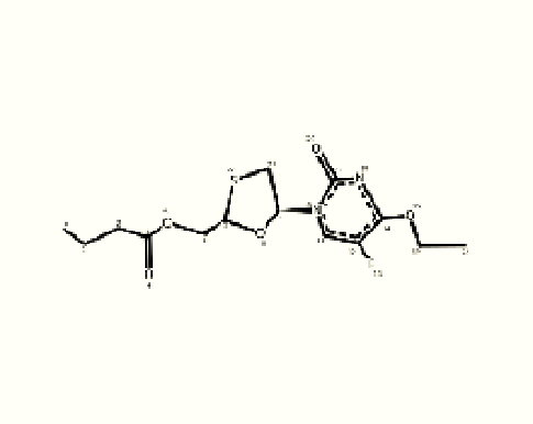 CCCC(=O)OC[C@@H]1O[C@H](n2cc(F)c(OCC)nc2=O)CS1